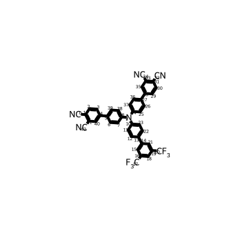 N#Cc1ccc(-c2ccc(N(c3ccc(-c4cc(C(F)(F)F)cc(C(F)(F)F)c4)cc3)c3ccc(-c4ccc(C#N)c(C#N)c4)cc3)cc2)cc1C#N